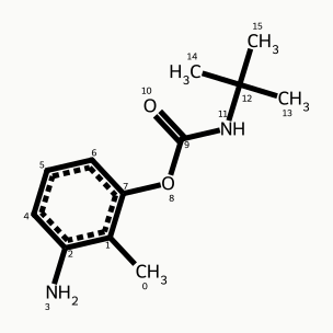 Cc1c(N)cccc1OC(=O)NC(C)(C)C